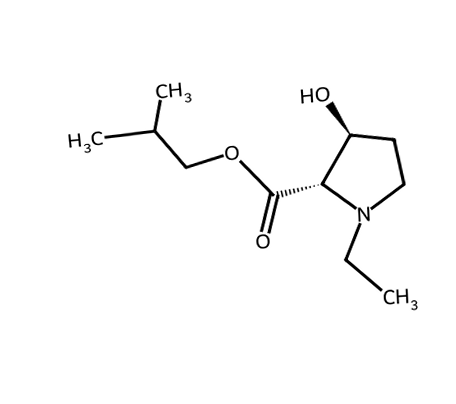 CCN1CC[C@H](O)[C@H]1C(=O)OCC(C)C